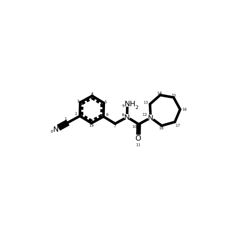 N#Cc1cccc(CN(N)C(=O)N2CCCCCC2)c1